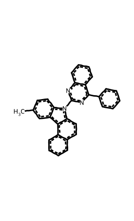 Cc1ccc2c(c1)c1c3ccccc3ccc1n2-c1nc(-c2ccccc2)c2ccccc2n1